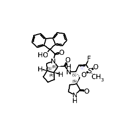 CS(=O)(=O)/C(F)=C\[C@H](C[C@@H]1CCNC1=O)NC(=O)[C@H]1[C@@H]2CCC[C@@H]2CN1C(=O)C1(O)c2ccccc2-c2ccccc21